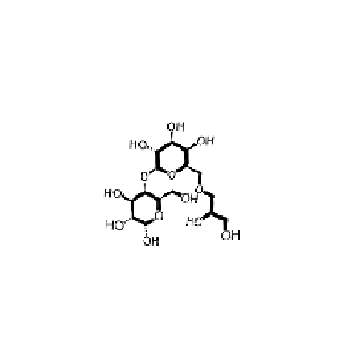 OCC(O)COC[C@H]1O[C@@H](O[C@H]2[C@H](O)[C@@H](O)[C@@H](O)O[C@@H]2CO)[C@H](O)[C@@H](O)[C@H]1O